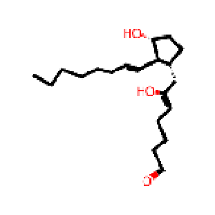 CCCCCC/C=C/C1[C@@H](C/C(O)=C/CCCC=O)CC[C@H]1O